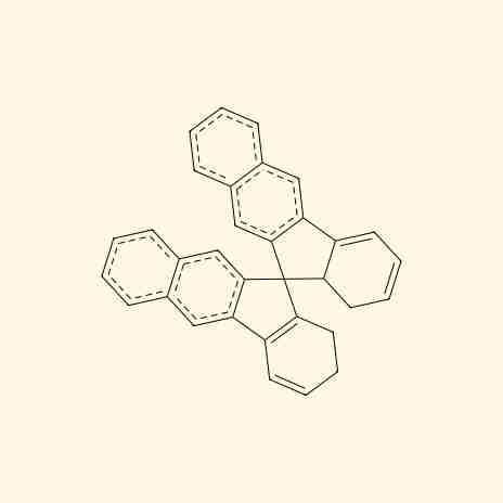 C1=CCC2C(=C1)c1cc3ccccc3cc1C21C2=C(C=CCC2)c2cc3ccccc3cc21